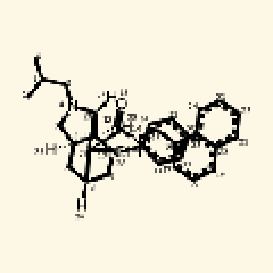 CC(C)CN1C[C@@H]2C[C@H]3CN[C@]2(C(=O)NCc2cccc4ccccc24)[C@@H]1[C@@H]3Cc1ccccc1